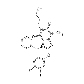 Cn1c(=O)n(CCCO)c(=O)c2c1nc(Oc1ccc(F)c(F)c1)n2Cc1ccccc1